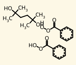 CC(C)(O)CCC(C)(C)O.O=C(OO)c1ccccc1.O=C(OO)c1ccccc1